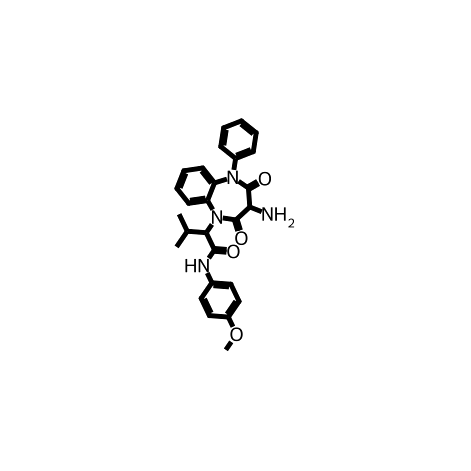 COc1ccc(NC(=O)C(C(C)C)N2C(=O)C(N)C(=O)N(c3ccccc3)c3ccccc32)cc1